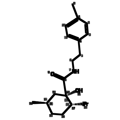 Cc1ccc(CCNC(=O)[C@]2(O)C[C@H](C)CC[C@H]2C(C)C)cc1